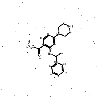 CC(Nc1cc(N2CCNCC2)ccc1C(=O)C(F)(F)F)c1ccccc1.Cl